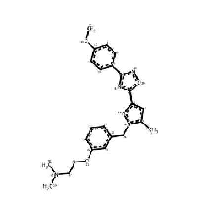 Cc1cc(-c2nc(-c3ccc(OC(F)(F)F)cc3)no2)nn1Cc1cccc(OCCN(C)C)c1